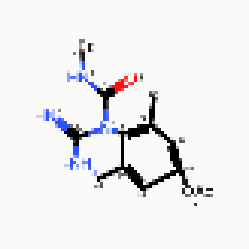 CCNC(=O)N(C(=N)N)c1c(C)cc(OC(C)=O)cc1C